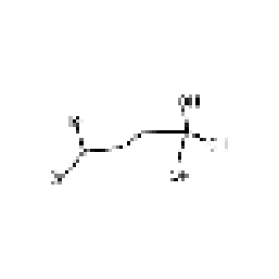 OC(O)(O)CCC(Br)Br